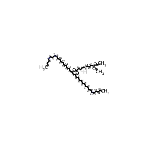 CCCC/C=C\C/C=C\CCCCCCCCCC(CCCCCCCCCCCC/C=C\CCCC)OC(=O)CCCNCCCC(OCC)OCC